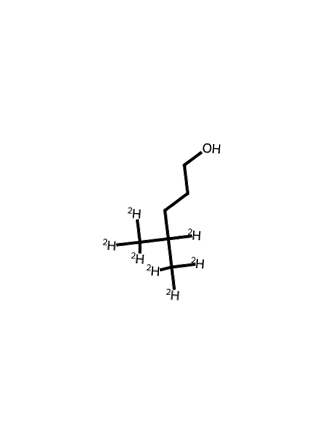 [2H]C([2H])([2H])C([2H])(CCCO)C([2H])([2H])[2H]